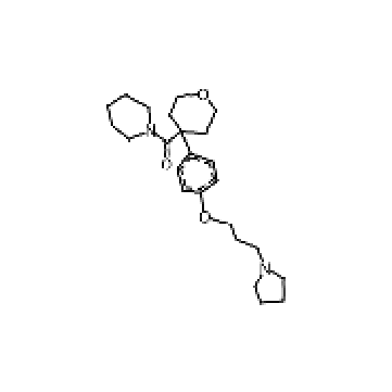 O=C(N1CCCCC1)C1(c2ccc(OCCCN3CCCC3)cc2)CCOCC1